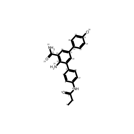 CCC(=O)Nc1ccc(-c2cc(-c3ccc(Cl)cc3)cc(C(N)=O)c2N)cc1